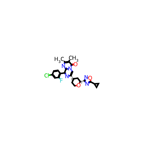 Cc1nc2c(-c3ccc(Cl)cc3F)nc([C@H]3CCO[C@@H](c4noc(C5CC5)n4)C3)cn2c(=O)c1C